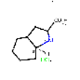 Cl.O=C(O)C1CC2CCCC[C@@H]2N1